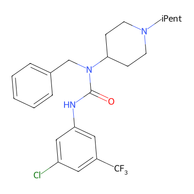 CCCC(C)N1CCC(N(Cc2ccccc2)C(=O)Nc2cc(Cl)cc(C(F)(F)F)c2)CC1